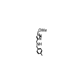 COCn1cc(CNCc2ccc(C)cc2)nn1